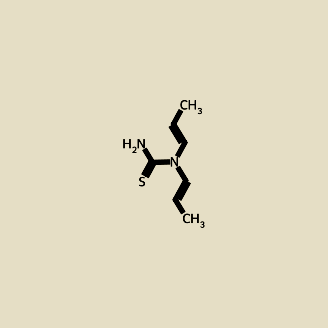 CC=CN(C=CC)C(N)=S